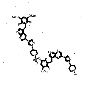 COc1cc(OC)c(F)c(Cc2c[nH]c3ncc(-c4cnn(C5CCN(S(=O)(=O)Oc6cc(OC)c(F)c(Cc7c[nH]c8ncc(-c9cnn(C%10CCN(C(C)=O)CC%10)c9)cc78)c6F)CC5)c4)cc23)c1F